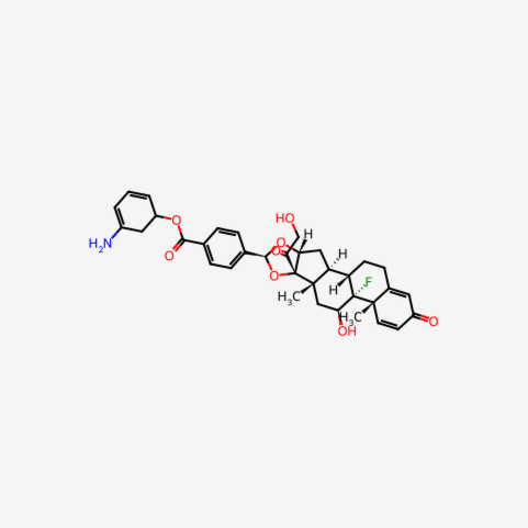 C[C@]12C=CC(=O)C=C1CC[C@H]1[C@@H]3C[C@H]4O[C@H](c5ccc(C(=O)OC6C=CC=C(N)C6)cc5)O[C@@]4(C(=O)CO)[C@@]3(C)C[C@H](O)[C@@]12F